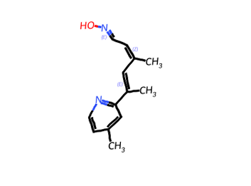 CC(=C/C=N/O)/C=C(\C)c1cc(C)ccn1